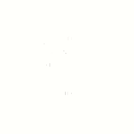 CCN(C(=O)Cl)C1CCCC(C)C1